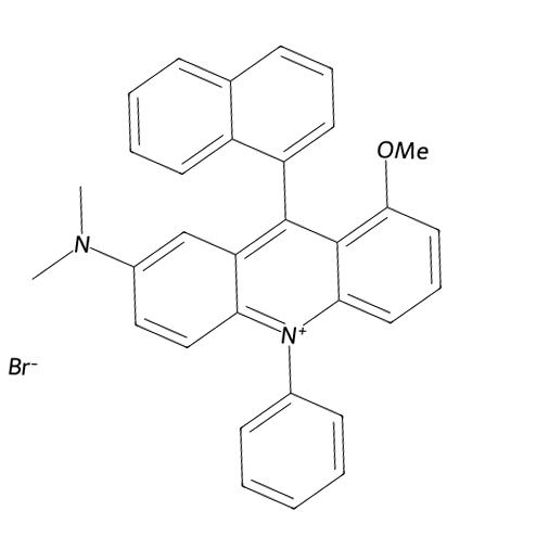 COc1cccc2c1c(-c1cccc3ccccc13)c1cc(N(C)C)ccc1[n+]2-c1ccccc1.[Br-]